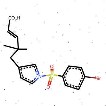 CC(C)(/C=C/C(=O)O)Cc1ccn(S(=O)(=O)c2ccc(Br)cc2)c1